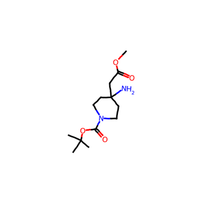 COC(=O)CC1(N)CCN(C(=O)OC(C)(C)C)CC1